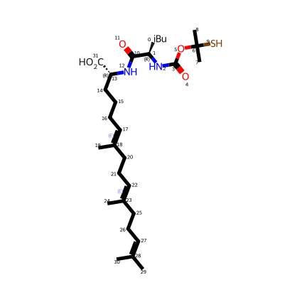 CCC(C)[C@@H](NC(=O)OC(C)(C)S)C(=O)N[C@H](CCC/C=C(\C)CC/C=C(\C)CCC=C(C)C)C(=O)O